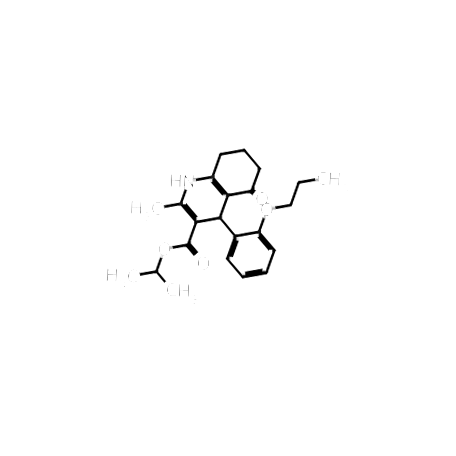 CCCOc1ccccc1C1C(C(=O)OC(C)C)=C(C)NC2=C1C(=O)CCC2